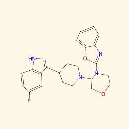 Fc1ccc2[nH]cc(C3CCN(C4COCCN4c4nc5ccccc5o4)CC3)c2c1